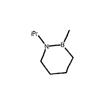 CB1CCCCN1C(C)C